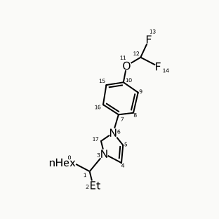 CCCCCCC(CC)N1C=CN(c2ccc(OC(F)F)cc2)C1